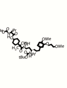 COCCCOc1cc(C[C@@H](C[C@@H](CCN(O)C(=O)C(C)(C)C2CCC(OC(=O)C(NC(=O)OC(C)(C)C)C(C)C)CC2)NC(=O)OC(C)(C)C)C(C)C)ccc1OC